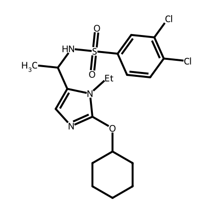 CCn1c(C(C)NS(=O)(=O)c2ccc(Cl)c(Cl)c2)cnc1OC1CCCCC1